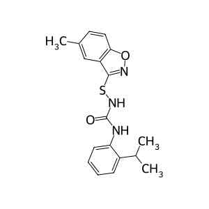 Cc1ccc2onc(SNC(=O)Nc3ccccc3C(C)C)c2c1